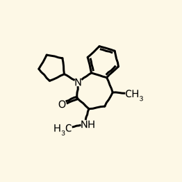 CNC1CC(C)c2ccccc2N(C2CCCC2)C1=O